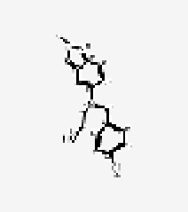 Cn1cc2cc(N(CCO)Cc3ccc(Cl)cc3)ccc2n1